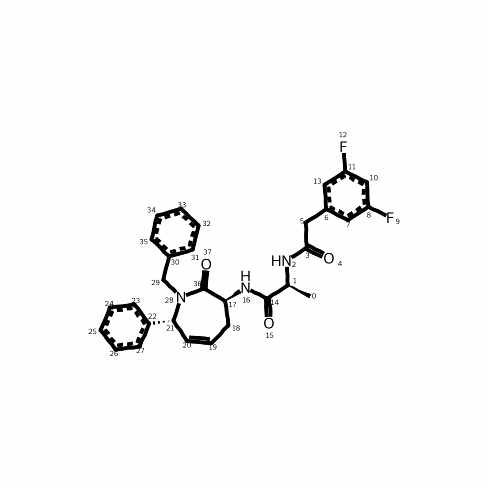 C[C@H](NC(=O)Cc1cc(F)cc(F)c1)C(=O)N[C@H]1CC=C[C@H](c2ccccc2)N(Cc2ccccc2)C1=O